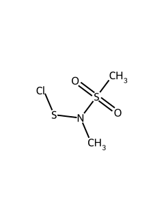 CN(SCl)S(C)(=O)=O